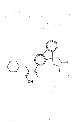 CCCC1(CCC)c2ccccc2-c2ccc(C(=O)/C(CC3CCCCC3)=N\O)cc21